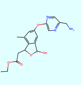 CCOC(=O)CC1OB(O)c2cc(Oc3cnc(CN)cn3)cc(C)c21